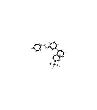 FC(F)(F)c1ccc2c(-c3cccc(OCc4ccccn4)c3)ccnc2n1